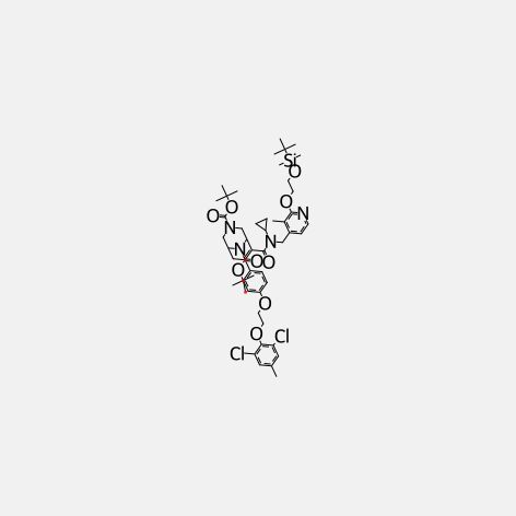 Cc1cc(Cl)c(OCCOc2ccc(C3=C(C(=O)N(Cc4ccnc(OCCO[Si](C)(C)C(C)(C)C)c4C)C4CC4)C4CN(C(=O)OC(C)(C)C)CC(C3)N4C(=O)OC(C)(C)C)cc2)c(Cl)c1